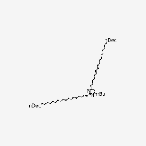 [CH2]CCCc1nc(CCCCCCCCCCCCCCCCCCCCCCCCCCCC)nc(CCCCCCCCCCCCCCCCCCCCCCCCCCCC)n1